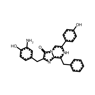 Nc1cc(Cc2nc3c(Cc4ccccc4)[nH]c(-c4ccc(O)cc4)cn-3c2=O)ccc1O